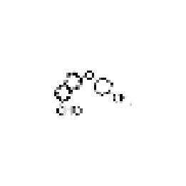 O=Cc1ccc2ccc(O[C@H]3CC[C@@H](C(F)(F)F)CC3)cc2c1